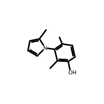 Cc1ccc(O)c(C)c1-n1cccc1C